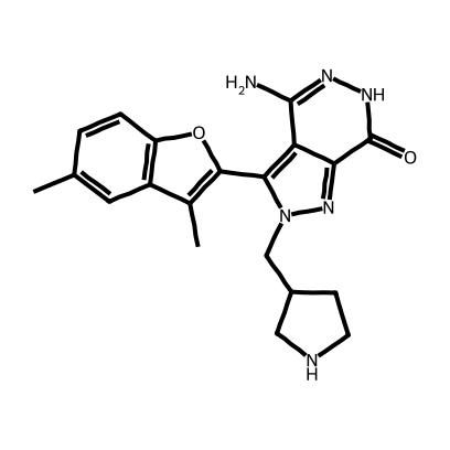 Cc1ccc2oc(-c3c4c(N)n[nH]c(=O)c4nn3CC3CCNC3)c(C)c2c1